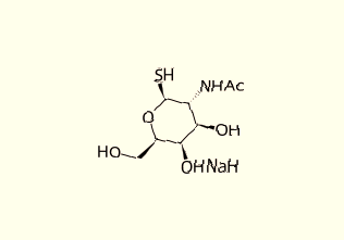 CC(=O)N[C@@H]1[C@@H](O)[C@@H](O)[C@@H](CO)O[C@H]1S.[NaH]